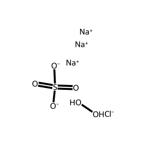 O=S(=O)([O-])[O-].OO.[Cl-].[Na+].[Na+].[Na+]